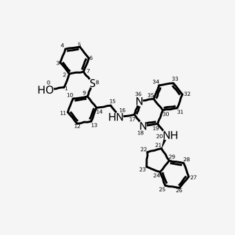 OCc1ccccc1Sc1ccccc1CNc1nc(N[C@@H]2CCc3ccccc32)c2ccccc2n1